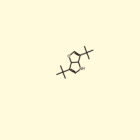 CC(C)(C)C1=COC2C(C(C)(C)C)=CNC12